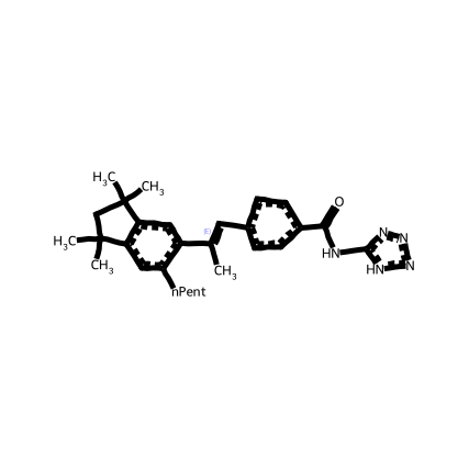 CCCCCc1cc2c(cc1/C(C)=C/c1ccc(C(=O)Nc3nnn[nH]3)cc1)C(C)(C)CC2(C)C